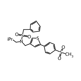 CC(C)CN(Cc1csc(-c2ccc(S(C)(=O)=O)cc2)c1)S(=O)(=O)Cc1ccccc1